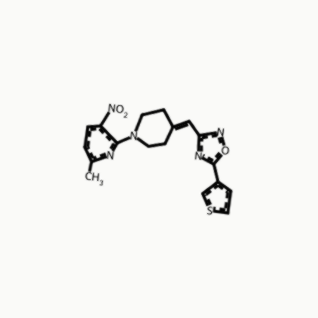 Cc1ccc([N+](=O)[O-])c(N2CCC(=Cc3noc(-c4ccsc4)n3)CC2)n1